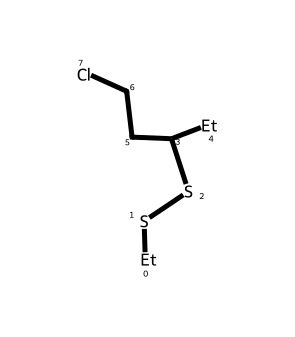 CCSSC(CC)CCCl